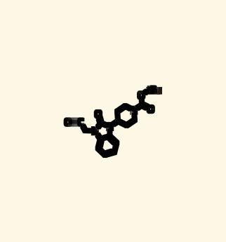 CC(C)(C)OC(=O)N1CCC(n2c(=O)n(CC=O)c3ccccc32)CC1